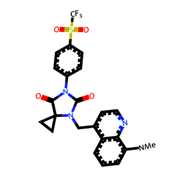 CNc1cccc2c(CN3C(=O)N(c4ccc(S(=O)(=O)C(F)(F)F)cc4)C(=O)C34CC4)ccnc12